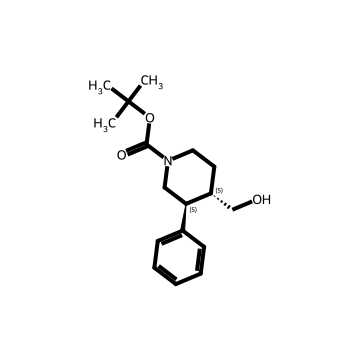 CC(C)(C)OC(=O)N1CC[C@H](CO)[C@@H](c2ccccc2)C1